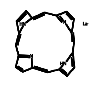 C1=Cc2cc3ccc(cc4nc(cc5ccc(cc1n2)[nH]5)C=C4)[nH]3.[La]